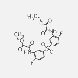 CCOC(=O)C(=O)Nc1cc(S(=O)(=O)c2ccc(F)c(NC(=O)C(=O)OCC)c2)ccc1F